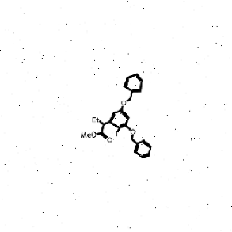 CCC(C(=O)OC)c1cc(OCc2ccccc2)cc(OCc2ccccc2)c1I